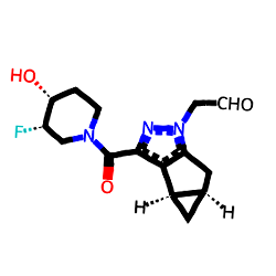 O=CCn1nc(C(=O)N2CC[C@@H](O)[C@@H](F)C2)c2c1C[C@H]1C[C@@H]21